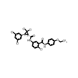 O=C(Nc1ccc(OCC(F)(F)F)cc1)c1cc(NC(=O)[C@@H]2[C@@H](c3cc(Cl)cc(Cl)c3)C2(Cl)Cl)ccc1Cl